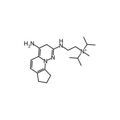 CC(C)[N+](C)(CCNC1=NN2C(=C(N)C1)C=CC1=C2CCC1)C(C)C